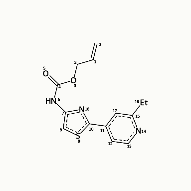 C=CCOC(=O)Nc1csc(-c2ccnc(CC)c2)n1